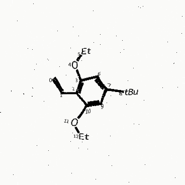 C=Cc1c(OCC)cc(C(C)(C)C)cc1OCC